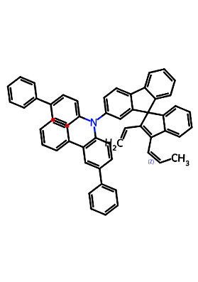 C=CC1=C(/C=C\C)c2ccccc2C12c1ccccc1-c1ccc(N(c3ccc(-c4ccccc4)cc3)c3ccc(-c4ccccc4)cc3-c3ccccc3)cc12